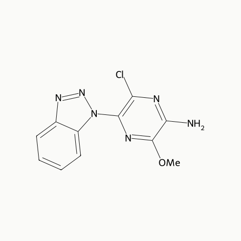 COc1nc(-n2nnc3ccccc32)c(Cl)nc1N